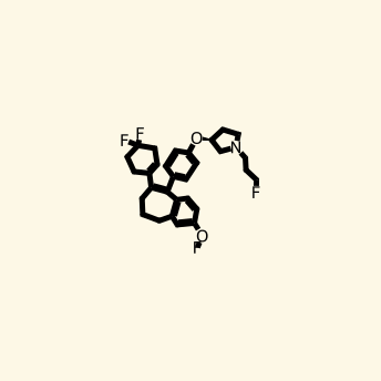 FCCCN1CC[C@H](Oc2ccc(C3=C(C4=CCC(F)(F)CC4)CCCc4cc(OF)ccc43)cc2)C1